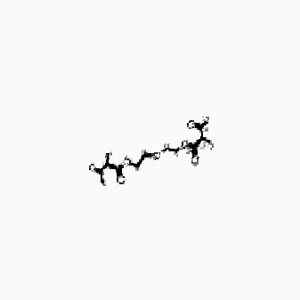 CC(=O)C(C)C(=O)OCCOCCOC(=O)C(C)C(C)=O